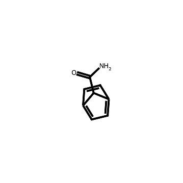 NC(=O)C1C2=CC=C1C=C2